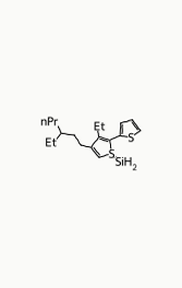 CCCC(CC)CCC1=CS(=[SiH2])C(c2cccs2)=C1CC